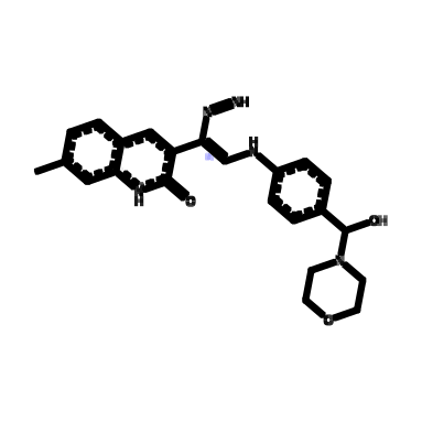 Cc1ccc2cc(/C(=C/Nc3ccc(C(O)N4CCOCC4)cc3)N=N)c(=O)[nH]c2c1